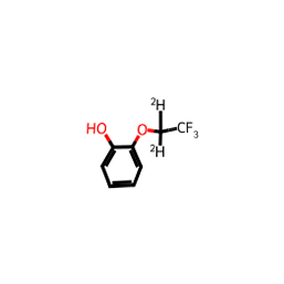 [2H]C([2H])(Oc1ccccc1O)C(F)(F)F